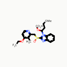 COCCC(OC(=O)O)n1c([S+]([O-])Cc2nccc(OCC(F)(F)F)c2C)nc2ccccc21